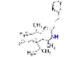 C=C/C(=C(/CC(C)NCCCCc1ccccc1)C(C)C)C(C)C(C)CC